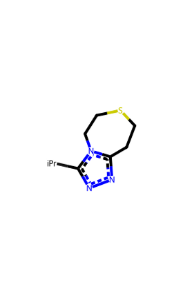 CC(C)c1nnc2n1CCSCC2